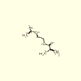 C=C(C)C(=O)OCCOC(=C)C(C)=O